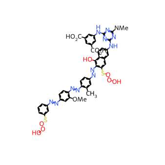 CNc1nc(Nc2cc(C(=O)O)cc(C(=O)O)c2)nc(Nc2ccc3c(O)c(N=Nc4ccc(N=Nc5ccc(N=Nc6cccc(SOOO)c6)cc5OC)c(C)c4)c(SOOO)cc3c2)n1